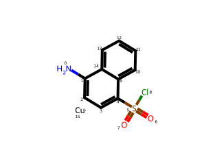 Nc1ccc(S(=O)(=O)Cl)c2ccccc12.[Cu]